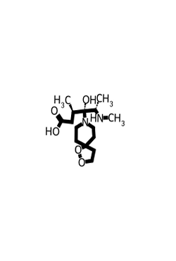 CN[C@@H](C)[C@](O)([C@H](C)CC(=O)O)N1CCC2(CCOO2)CC1